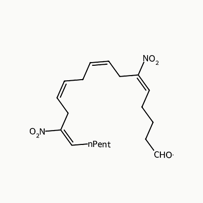 CCCCC/C=C(\C/C=C\C/C=C\C/C(=C\CCC[C]=O)[N+](=O)[O-])[N+](=O)[O-]